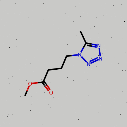 COC(=O)CCCn1nnnc1C